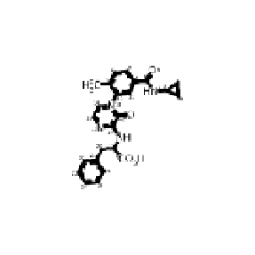 Cc1ccc(C(=O)NC2CC2)cc1-n1ccnc(NC(Cc2ccccc2)C(=O)O)c1=O